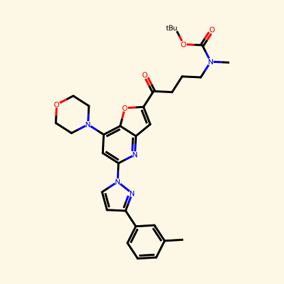 Cc1cccc(-c2ccn(-c3cc(N4CCOCC4)c4oc(C(=O)CCCN(C)C(=O)OC(C)(C)C)cc4n3)n2)c1